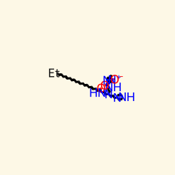 CCC=CCC=CCC=CCC=CCC=CCC=CCCC(=O)NCCN(CCCN1CCNCC1)CCNC(=O)c1c[n+]([O-])c(C)cn1